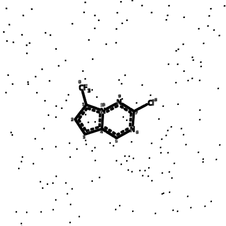 FC(F)(F)c1ccc2cnc(Cl)nn12